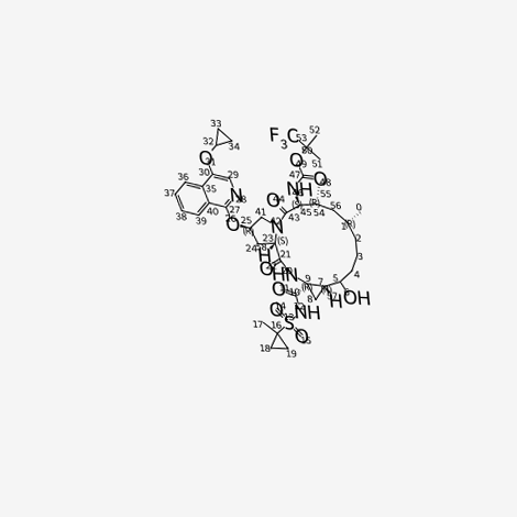 C[C@@H]1CCCC(O)[C@@H]2C[C@@]2(C(=O)NS(=O)(=O)C2(C)CC2)NC(=O)[C@@H]2C[C@@H](Oc3ncc(OC4CC4)c4ccccc34)CN2C(=O)[C@@H](NC(=O)OC(C)(C)C(F)(F)F)[C@H](C)C1